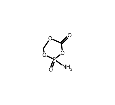 NP1(=O)OCOC(=O)O1